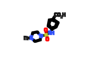 CCN1CCN(S(=O)(=O)Nc2ccc(C(=O)O)cc2)CC1